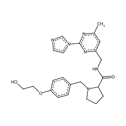 Cc1cc(CNC(=O)C2CCCN2Cc2ccc(OCCO)cc2)nc(-n2ccnc2)n1